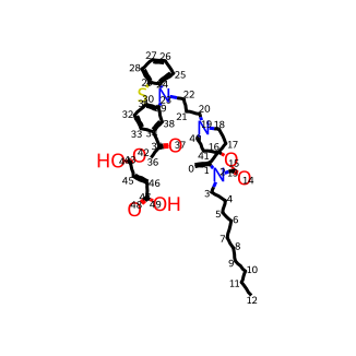 C=C1N(CCCCCCCCCC)C(=O)OC12CCN(CCCN1c3ccccc3Sc3ccc(C(C)=O)cc31)CC2.O=C(O)C=CC(=O)O